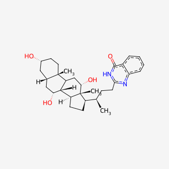 C[C@H](CCc1nc2ccccc2c(=O)[nH]1)[C@H]1CC[C@H]2[C@H]3C(C[C@H](O)[C@]12C)[C@@]1(C)CC[C@@H](O)C[C@H]1C[C@H]3O